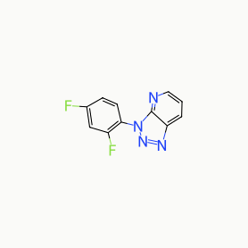 Fc1ccc(-n2nnc3cccnc32)c(F)c1